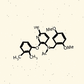 COc1ccc(OC)c(CN(C(C)=O)c2ccc([18F])nc2Oc2cccc(C)c2C)c1